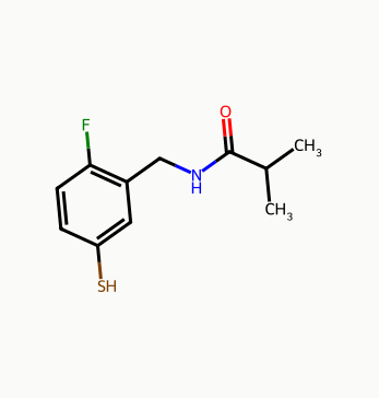 CC(C)C(=O)NCc1cc(S)ccc1F